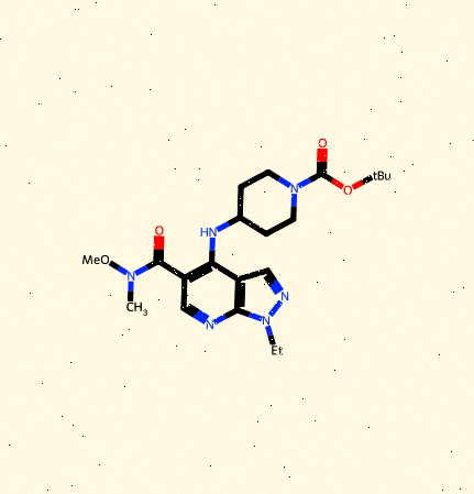 CCn1ncc2c(NC3CCN(C(=O)OC(C)(C)C)CC3)c(C(=O)N(C)OC)cnc21